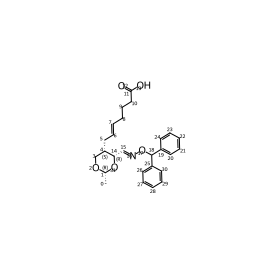 C[C@@H]1OC[C@H](CC=CCCCC(=O)O)[C@H](C=NOC(c2ccccc2)c2ccccc2)O1